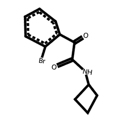 O=C(NC1CCC1)C(=O)c1ccccc1Br